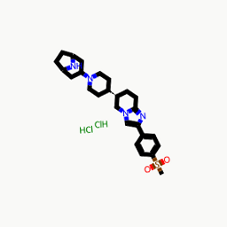 CS(=O)(=O)c1ccc(-c2cn3c(n2)CC[C@@H](C2CCN(C4CC5CCC(C4)N5)CC2)C3)cc1.Cl.Cl